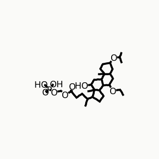 CCOC1CC2CC(OC(C)C)CCC2(C)C2CC(O)C3(C)C(C(C)CCC(=O)OCOP(=O)(O)O)CCC3C12